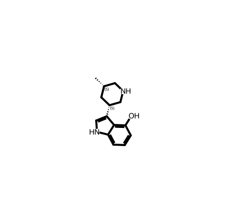 C[C@@H]1CNC[C@H](c2c[nH]c3cccc(O)c23)C1